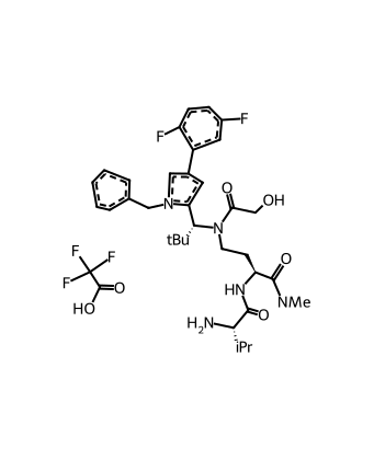 CNC(=O)[C@H](CCN(C(=O)CO)[C@@H](c1cc(-c2cc(F)ccc2F)cn1Cc1ccccc1)C(C)(C)C)NC(=O)[C@@H](N)C(C)C.O=C(O)C(F)(F)F